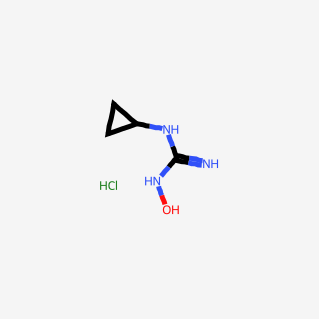 Cl.N=C(NO)NC1CC1